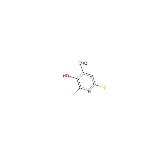 O=Cc1cc(F)nc(F)c1O